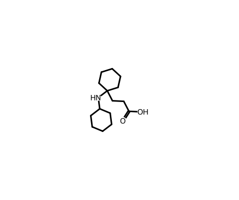 O=C(O)CCC1(NC2CCCCC2)CCCCC1